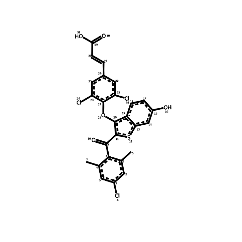 Cc1cc(Cl)cc(C)c1C(=O)c1sc2cc(O)ccc2c1Oc1c(Cl)cc(/C=C/C(=O)O)cc1Cl